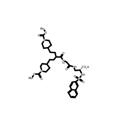 CC(C)(C)OC(=O)N1CCC(CCC(CCC2CCN(C(=O)OC(C)(C)C)CC2)C(=O)NCC(=O)NC[C@@H](NS(=O)(=O)c2ccc3ccccc3c2)C(=O)O)CC1